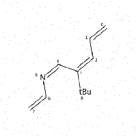 C=C/C=C(\C=N/C=C)C(C)(C)C